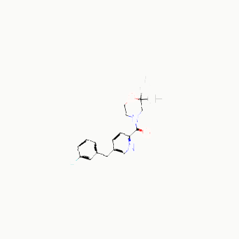 CC1(C)CN(C(=O)c2ccc(Cc3cccc(F)c3)cn2)CCO1